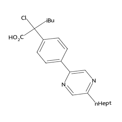 CCCCCCCc1cnc(-c2ccc(C(Cl)(C(=O)O)C(C)CC)cc2)cn1